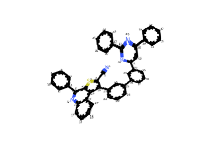 N#Cc1sc2c(-c3ccccc3)nc3ccccc3c2c1-c1cccc(-c2cccc(-c3cc(-c4ccccc4)nc(-c4ccccc4)n3)c2)c1